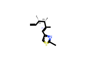 C=C[C@H](C)[C@H](C)/C(C)=C/c1csc(C)n1